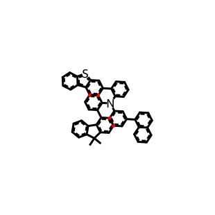 CC1(C)c2ccccc2-c2c(-c3ccccc3N(c3cccc(-c4cccc5ccccc45)c3)c3ccccc3-c3ccc4c(c3)sc3ccccc34)cccc21